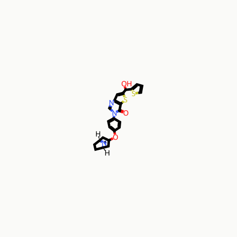 CN1[C@@H]2CC[C@H]1CC(Oc1ccc(-n3cnc4cc(C(O)c5cccs5)sc4c3=O)cc1)C2